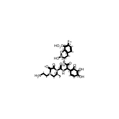 C[C@H]1CN(CCN)C(=O)C(=O)N1C(=O)NC(C(=O)N[C@H]1Cc2ccc(F)c(C(=O)O)c2OB1O)c1ccc(O)c(O)c1Cl